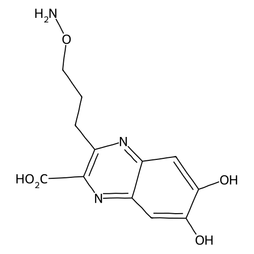 NOCCCc1nc2cc(O)c(O)cc2nc1C(=O)O